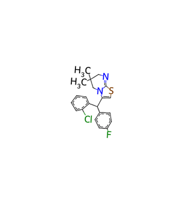 CC1(C)CN=C2SC=C(C(c3ccc(F)cc3)c3ccccc3Cl)N2C1